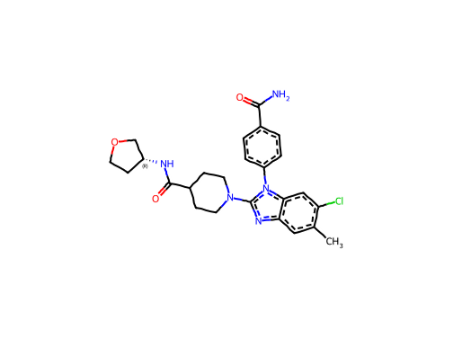 Cc1cc2nc(N3CCC(C(=O)N[C@@H]4CCOC4)CC3)n(-c3ccc(C(N)=O)cc3)c2cc1Cl